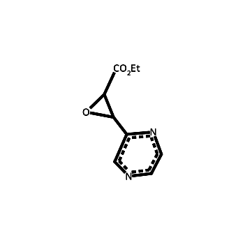 CCOC(=O)C1OC1c1cnccn1